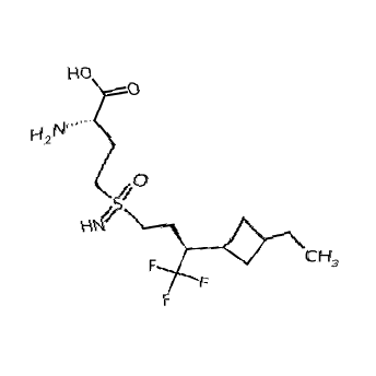 CCC1CC([C@H](CCS(=N)(=O)CC[C@H](N)C(=O)O)C(F)(F)F)C1